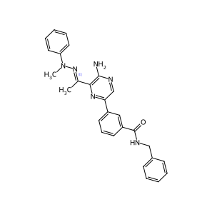 C/C(=N\N(C)c1ccccc1)c1nc(-c2cccc(C(=O)NCc3ccccc3)c2)cnc1N